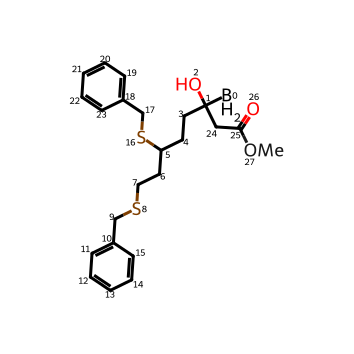 BC(O)(CCC(CCSCc1ccccc1)SCc1ccccc1)CC(=O)OC